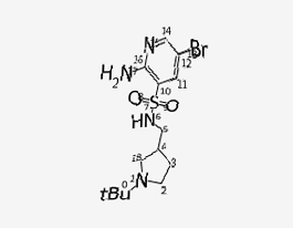 CC(C)(C)N1CCC(CNS(=O)(=O)c2cc(Br)cnc2N)C1